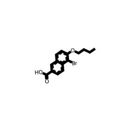 CCCCOc1ccc2cc(C(=O)O)ccc2c1Br